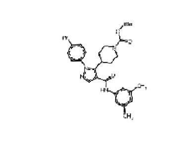 Cc1cc(C)cc(NC(=O)c2cnn(-c3ccc(C(C)C)cc3)c2C2CCN(C(=O)OC(C)(C)C)CC2)c1